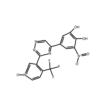 O=[N+]([O-])c1cc(-c2cnnc(-c3c[n+]([O-])ccc3C(F)(F)F)n2)cc(O)c1O